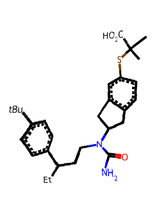 CCC(CCN(C(N)=O)C1Cc2ccc(SC(C)(C)C(=O)O)cc2C1)c1ccc(C(C)(C)C)cc1